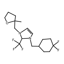 CC1(CN2C=CN(CC3CCC(F)(F)CC3)C2C(F)(F)F)CCCO1